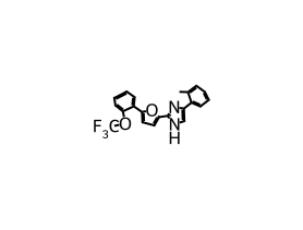 Cc1ccccc1-c1c[nH]c(-c2ccc(-c3ccccc3OC(F)(F)F)o2)n1